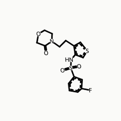 O=C1COCCN1CCc1cscc1NS(=O)(=O)c1cccc(F)c1